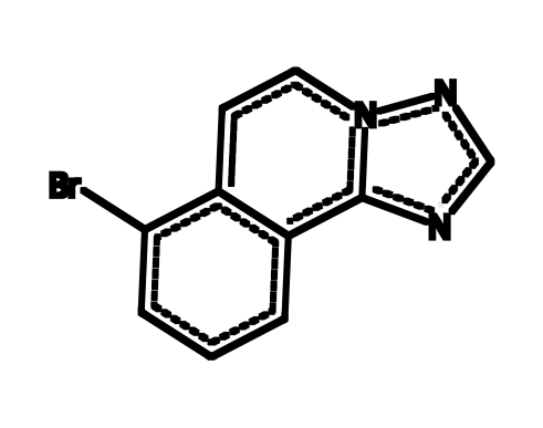 Brc1cccc2c1ccn1ncnc21